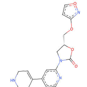 O=C1O[C@@H](COc2ccon2)CN1c1cc(C2=CCNCC2)ccn1